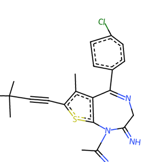 CC(=N)N1C(=N)CN=C(c2ccc(Cl)cc2)c2c1sc(C#CC(C)(C)C)c2C